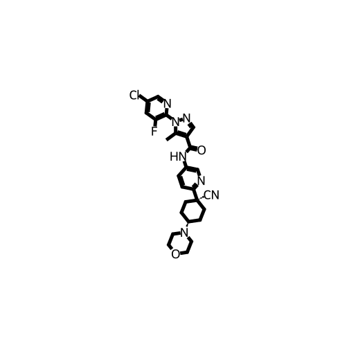 Cc1c(C(=O)Nc2ccc([C@]3(C#N)CC[C@@H](N4CCOCC4)CC3)nc2)cnn1-c1ncc(Cl)cc1F